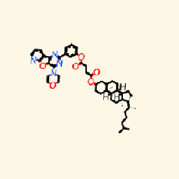 CC(C)CCC[C@@H](C)[C@H]1CC[C@H]2[C@@H]3CCC4CC(OC(=O)CCC(=O)Oc5cccc(-c6nc(N7CCOCC7)c7oc8ncccc8c7n6)c5)CC[C@]4(C)[C@H]3CC[C@]12C